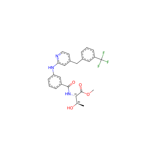 COC(=O)[C@@H](NC(=O)c1cccc(Nc2cc(Cc3cccc(C(F)(F)F)c3)ccn2)c1)[C@@H](C)O